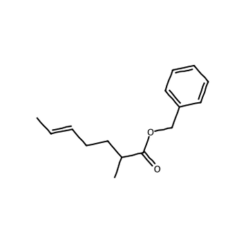 CC=CCCC(C)C(=O)OCc1ccccc1